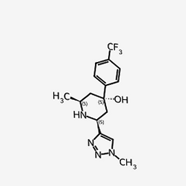 C[C@H]1C[C@@](O)(c2ccc(C(F)(F)F)cc2)C[C@@H](c2cn(C)nn2)N1